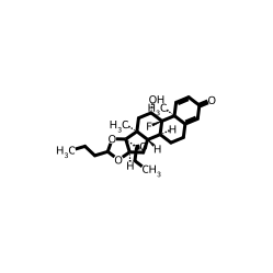 CCCC1O[C@@H]2C[C@H]3[C@@H]4CCC5=CC(=O)C=C[C@]5(C)[C@@]4(F)[C@@H](O)C[C@]3(C)[C@]2(C(=O)CC)O1